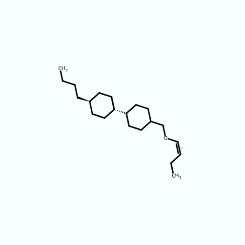 CC/C=C\OCC1CCC([C@H]2CC[C@H](CCCC)CC2)CC1